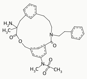 CN(c1cc2cc(c1)C(=O)N(CCc1ccccc1)CCCc1cccc(c1)CC(C)(N)C(=O)OC2)S(C)(=O)=O